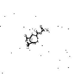 CC(=O)OC(=O)C1CCCC2CC(C1)C(=O)OC2=O